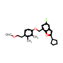 Cc1c(CCOC=O)ccc(OCc2cc(F)cc3cc(C4CCCC4)oc23)c1C